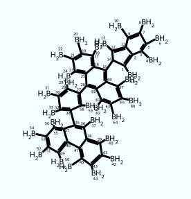 BC1=c2c(B)c(B)c(B)c(B)c2=C(B)C1c1c2c(B)c(B)c(B)c(B)c2c(-c2c(B)c(B)c(B)c(-c3c(B)c4c(B)c(B)c(B)c(B)c4c4c(B)c(B)c(B)c(B)c34)c2B)c2c(B)c(B)c(B)c(B)c12